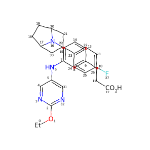 CCOc1ncc(Nc2cc(CCC(=O)O)ccc2N2C3CCC2CC(c2ccc(F)cc2)C3)cn1